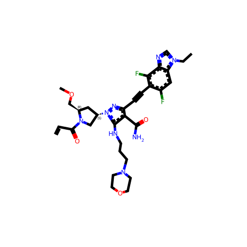 C=CC(=O)N1C[C@@H](n2nc(C#Cc3c(F)cc4c(ncn4CC)c3F)c(C(N)=O)c2NCCCN2CCOCC2)C[C@@H]1COC